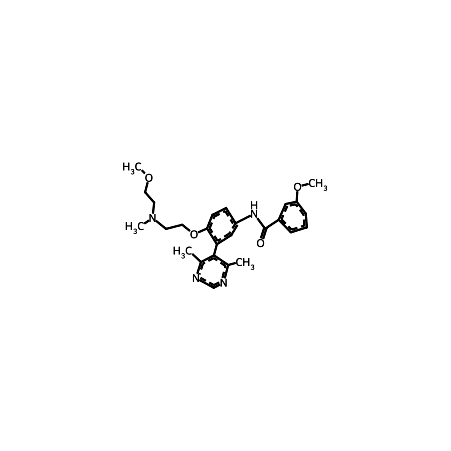 COCCN(C)CCOc1ccc(NC(=O)c2cccc(OC)c2)cc1-c1c(C)ncnc1C